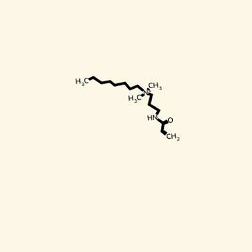 C=CC(=O)NCCC[N+](C)(C)CCCCCCCC